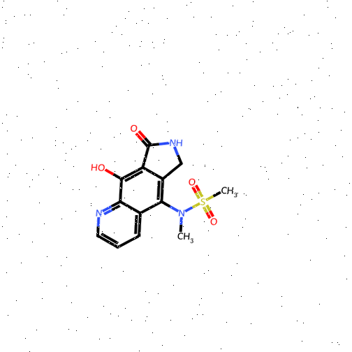 CN(c1c2c(c(O)c3ncccc13)C(=O)NC2)S(C)(=O)=O